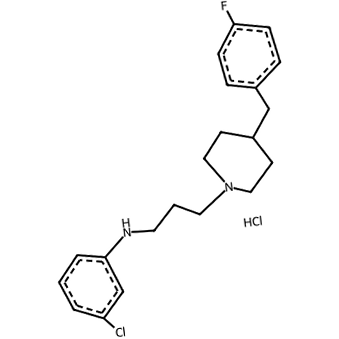 Cl.Fc1ccc(CC2CCN(CCCNc3cccc(Cl)c3)CC2)cc1